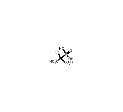 CCC(C(=O)O)(C(=O)O)P(=O)(O)O